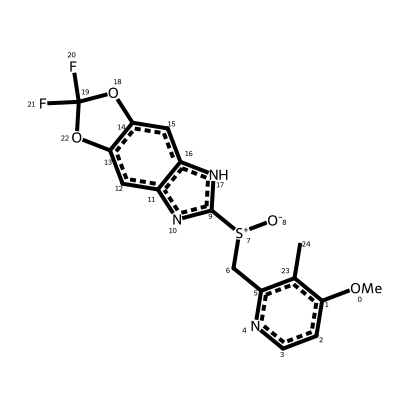 COc1ccnc(C[S+]([O-])c2nc3cc4c(cc3[nH]2)OC(F)(F)O4)c1C